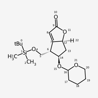 CC(C)(C)[Si](C)(C)OC[C@@H]1C2=CC(=O)O[C@H]2C[C@H]1OC1CCCCO1